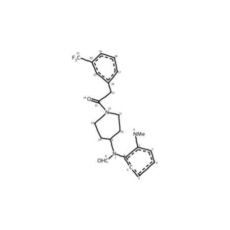 CNc1ccccc1N(C=O)C1CCN(C(=O)Cc2cccc(C(F)(F)F)c2)CC1